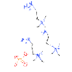 C[N+](C)(C)CCN.C[N+](C)(C)CCN.C[N+](C)(C)CCN.O=P([O-])([O-])[O-]